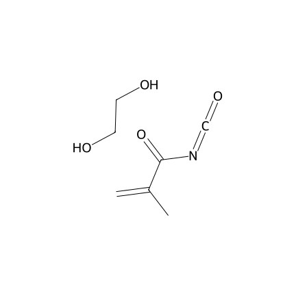 C=C(C)C(=O)N=C=O.OCCO